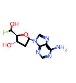 Nc1ncnc2c1ncn2[C@H]1C[C@H](O)[C@@H](C(O)F)O1